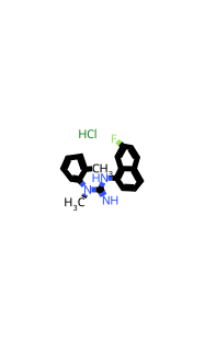 Cc1ccccc1N(C)C(=N)Nc1cccc2ccc(F)cc12.Cl